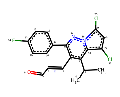 CC(C)c1c(/C=C/C=O)c(-c2ccc(F)cc2)nn2c(Cl)cc(Cl)c12